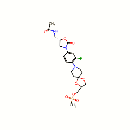 CC(=O)NC[C@H]1CN(c2ccc(N3CCC4(CC3)OCC(COS(C)(=O)=O)O4)c(F)c2)C(=O)O1